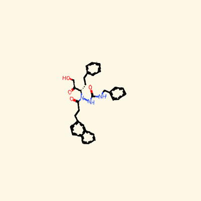 O=C(NCc1ccccc1)NN(C(=O)CCc1ccc2ccccc2c1)[C@@H](CCc1ccccc1)C(=O)CO